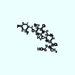 Cc1nc(OCc2ccc(F)cc2F)c(Br)c(=O)n1Cc1cnc(C(=O)N(C)CCO)cn1